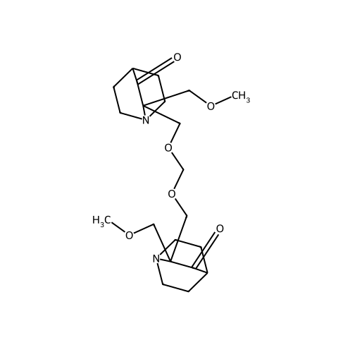 COCC1(COCOCC2(COC)C(=O)C3CCN2CC3)C(=O)C2CCN1CC2